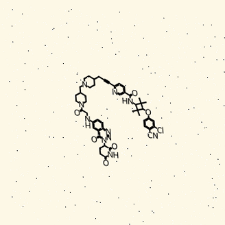 CC1(C)C(NC(=O)c2ccc(C#CCC3CCN(CC4CCN(C(=O)CNc5ccc6nnn(C7CCC(=O)NC7=O)c(=O)c6c5)CC4)CC3)nc2)C(C)(C)C1Oc1ccc(C#N)c(Cl)c1